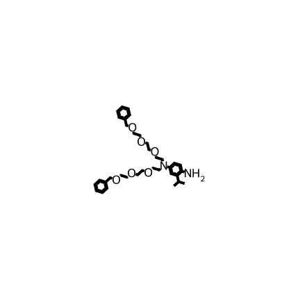 CC(C)c1cc(N(CCOCCOCCOCc2ccccc2)CCOCCOCCOCc2ccccc2)ccc1N